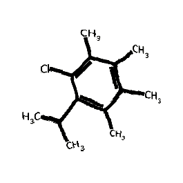 Cc1c(C)c(C)c(C(C)C)c(Cl)c1C